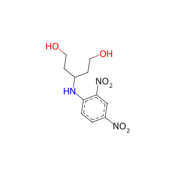 O=[N+]([O-])c1ccc(NC(CCO)CCO)c([N+](=O)[O-])c1